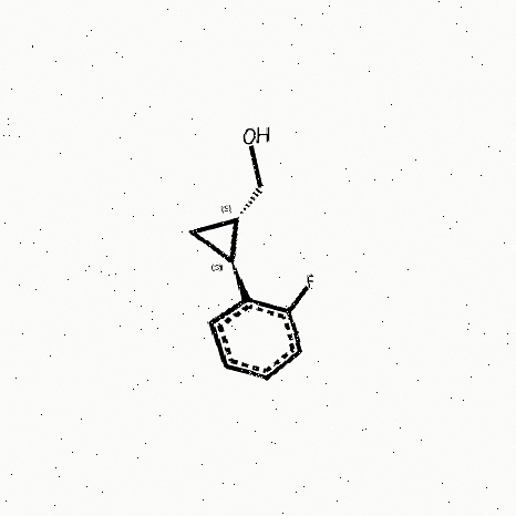 OC[C@H]1C[C@@H]1c1ccccc1F